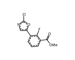 COC(=O)c1cccc(-c2cnc(Cl)o2)c1F